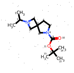 CC(C)N1CC2(CCN(C(=O)OC(C)(C)C)C2)C1